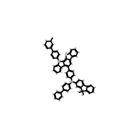 CC1C=C(c2ccc(-n3c4ccccc4c4c(-c5ccc(N(c6ccc(-c7ccccc7)cc6)c6ccc7c(c6)C(C)(C)c6ccccc6-7)cc5)cc5c6ccccc6oc5c43)cc2)C=CC1